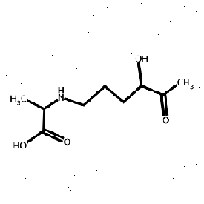 CC(=O)C(O)CCCNC(C)C(=O)O